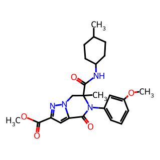 COC(=O)c1cc2n(n1)CC(C)(C(=O)NC1CCC(C)CC1)N(c1cccc(OC)c1)C2=O